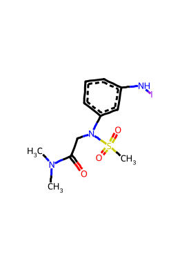 CN(C)C(=O)CN(c1cccc(NI)c1)S(C)(=O)=O